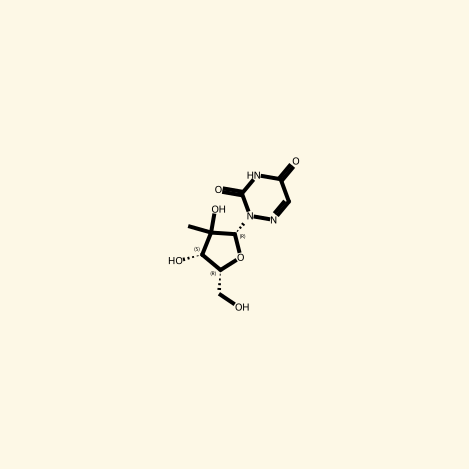 CC1(O)[C@@H](O)[C@@H](CO)O[C@H]1n1ncc(=O)[nH]c1=O